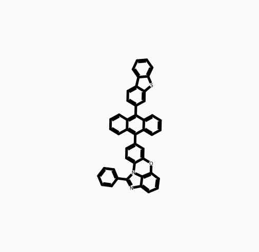 c1ccc(-c2nc3cccc4c3n2-c2ccc(-c3c5ccccc5c(-c5ccc6c(c5)sc5ccccc56)c5ccccc35)cc2O4)cc1